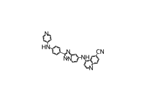 N#Cc1ccc2nccc(Nc3ccn4nc(-c5ccc(Nc6ccncc6)cc5)nc4c3)c2c1